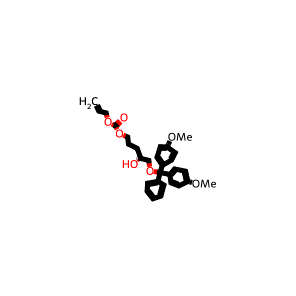 C=CCOC(=O)OCCC[C@H](O)COC(c1ccccc1)(c1ccc(OC)cc1)c1ccc(OC)cc1